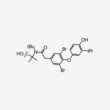 CC(C)c1cc(Oc2c(Br)cc(CC(=O)N(C(C)(C)C)C(C)(C)C(=O)O)cc2Br)ccc1O